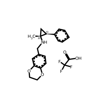 C[C@@]1(NCc2ccc3c(c2)OCCO3)C[C@H]1c1ccccc1.O=C(O)C(F)(F)F